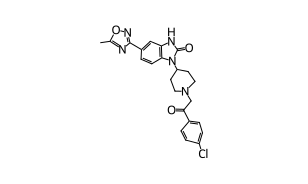 Cc1nc(-c2ccc3c(c2)[nH]c(=O)n3C2CCN(CC(=O)c3ccc(Cl)cc3)CC2)no1